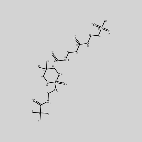 CC(C)(C)C(=O)OCO[P@@]1(=O)OCC(C)(C)[C@H](C(=O)NCCC(=O)OCCS(C)(=O)=O)O1